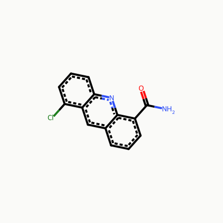 NC(=O)c1cccc2cc3c(Cl)cccc3nc12